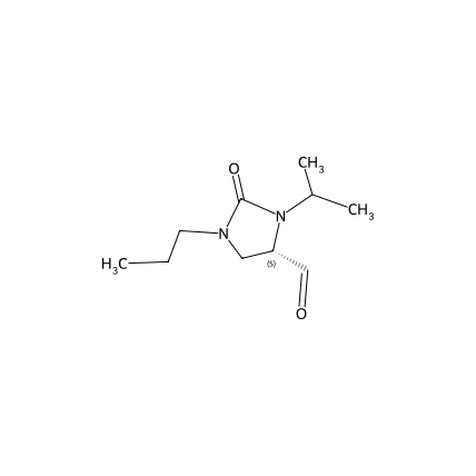 CCCN1C[C@@H](C=O)N(C(C)C)C1=O